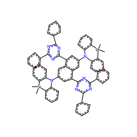 C[Si]1(C)c2ccccc2N(c2cc(-c3nc(-c4ccccc4)nc(-c4ccccc4)n3)c3cc(N4c5ccccc5[Si](C)(C)c5ccccc54)cc(-c4nc(-c5ccccc5)nc(-c5ccccc5)n4)c3c2)c2ccccc21